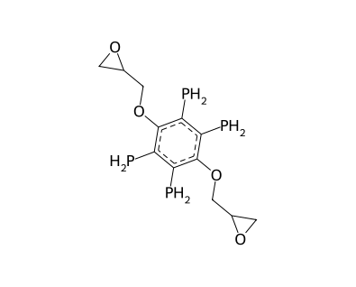 Pc1c(P)c(OCC2CO2)c(P)c(P)c1OCC1CO1